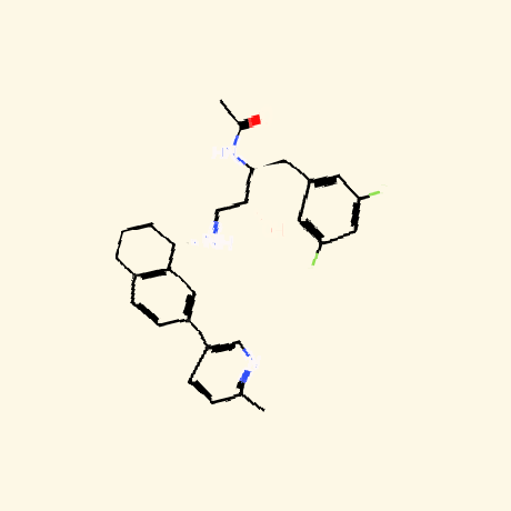 CC(=O)N[C@@H](Cc1cc(F)cc(F)c1)[C@H](O)CN[C@H]1CCCc2ccc(-c3ccc(C)nc3)cc21